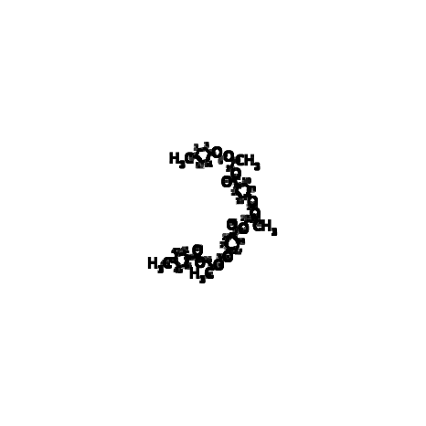 Cc1ccc(OCOC(C)COC(=O)c2ccc(OCOC(C)COC(=O)c3ccc(OCOC(C)COC(=O)c4ccc(C)cc4)cc3)cc2)cc1